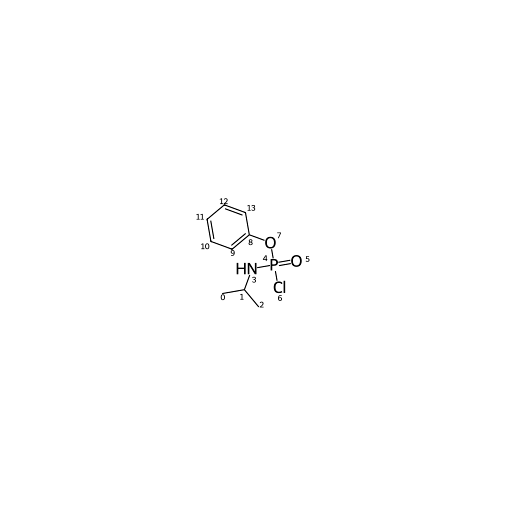 CC(C)NP(=O)(Cl)Oc1ccccc1